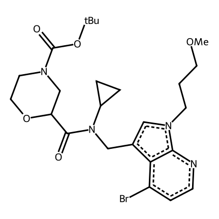 COCCCn1cc(CN(C(=O)C2CN(C(=O)OC(C)(C)C)CCO2)C2CC2)c2c(Br)ccnc21